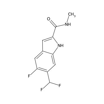 CNC(=O)c1cc2cc(F)c(C(F)F)cc2[nH]1